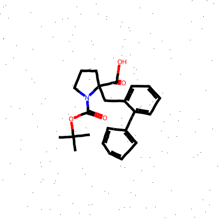 CC(C)(C)OC(=O)N1CCCC1(Cc1ccccc1-c1ccccc1)C(=O)O